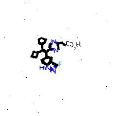 O=C(O)C=Cc1cnc(C(=C(c2ccccc2)C2CCC2)c2ccc3[nH]nc(F)c3c2)cn1